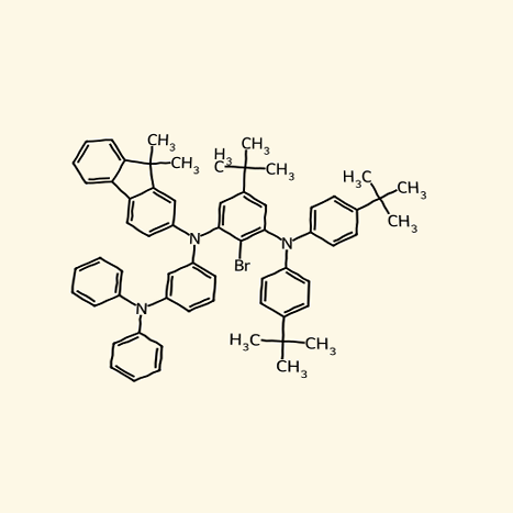 CC(C)(C)c1ccc(N(c2ccc(C(C)(C)C)cc2)c2cc(C(C)(C)C)cc(N(c3cccc(N(c4ccccc4)c4ccccc4)c3)c3ccc4c(c3)C(C)(C)c3ccccc3-4)c2Br)cc1